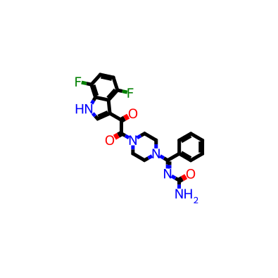 NC(=O)/N=C(\c1ccccc1)N1CCN(C(=O)C(=O)c2c[nH]c3c(F)ccc(F)c23)CC1